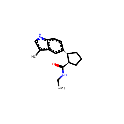 COCNC(=O)[C@@H]1CCC[C@H]1c1ccc2[nH]cc(C#N)c2c1